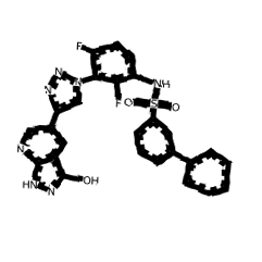 O=S(=O)(Nc1ccc(F)c(-n2cc(-c3cnc4[nH]nc(O)c4c3)nn2)c1F)c1cccc(-c2ccccc2)c1